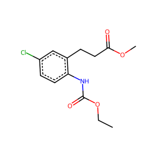 CCOC(=O)Nc1ccc(Cl)cc1CCC(=O)OC